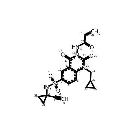 C#CC1(NS(=O)(=O)c2ccc3c(c2)c(=O)n(NC(=O)C=C)c(=O)n3CC2CC2)CC1